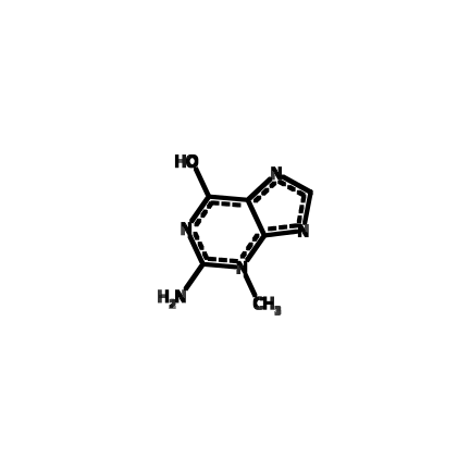 Cn1c(N)nc(O)c2ncnc1-2